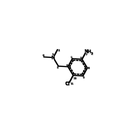 CN(C)Cc1cc(N)ccc1Cl